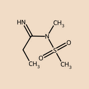 CCC(=N)N(C)S(C)(=O)=O